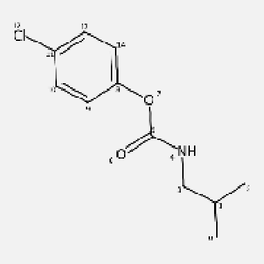 CC(C)CNC(=O)Oc1ccc(Cl)cc1